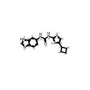 O=C(Nc1ccc2nc[nH]c2c1)Nc1ncc(C2CCC2)s1